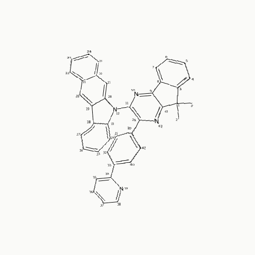 CC1(C)c2ccccc2-c2nc(-n3c4ccccc4c4cc5ccccc5cc43)c(-c3ccc(-c4ccccn4)cc3)nc21